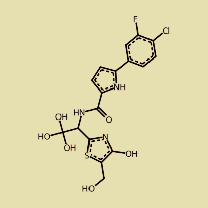 O=C(NC(c1nc(O)c(CO)s1)C(O)(O)O)c1ccc(-c2ccc(Cl)c(F)c2)[nH]1